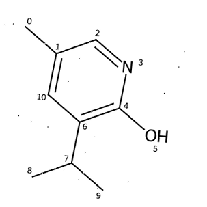 Cc1cnc(O)c(C(C)C)c1